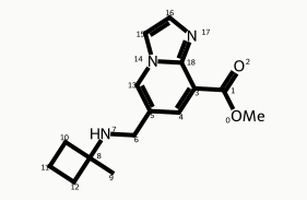 COC(=O)c1cc(CNC2(C)CCC2)cn2ccnc12